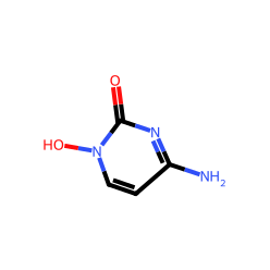 Nc1ccn(O)c(=O)n1